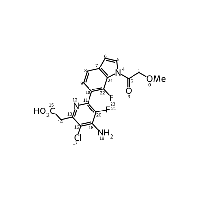 COCC(=O)n1ccc2ccc(-c3nc(CC(=O)O)c(Cl)c(N)c3F)c(F)c21